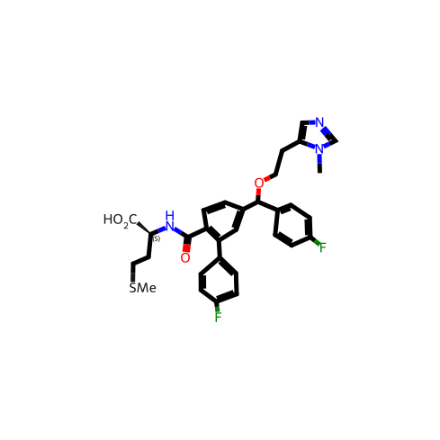 CSCC[C@H](NC(=O)c1ccc(C(OCCc2cncn2C)c2ccc(F)cc2)cc1-c1ccc(F)cc1)C(=O)O